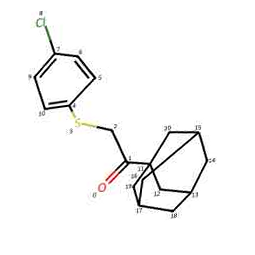 O=C(CSc1ccc(Cl)cc1)C12CC3CC(CC(C3)C1)C2